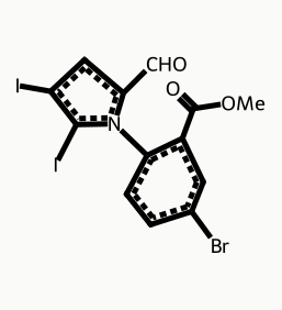 COC(=O)c1cc(Br)ccc1-n1c(C=O)cc(I)c1I